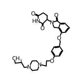 CCCCN1CCN(CCOc2ccc(COc3cccc4c3CN(C3CCC(=O)NC3=O)C4=O)cc2)CC1